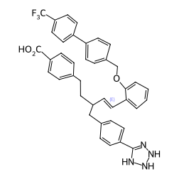 O=C(O)c1ccc(CCC(/C=C/c2ccccc2OCc2ccc(-c3ccc(C(F)(F)F)cc3)cc2)Cc2ccc(C3=NNNN3)cc2)cc1